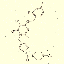 CC(=O)N1CCN(C(=O)c2ccc(Cn3c(C)nc(OCc4ccc(F)cc4F)c(Br)c3=O)cc2)CC1